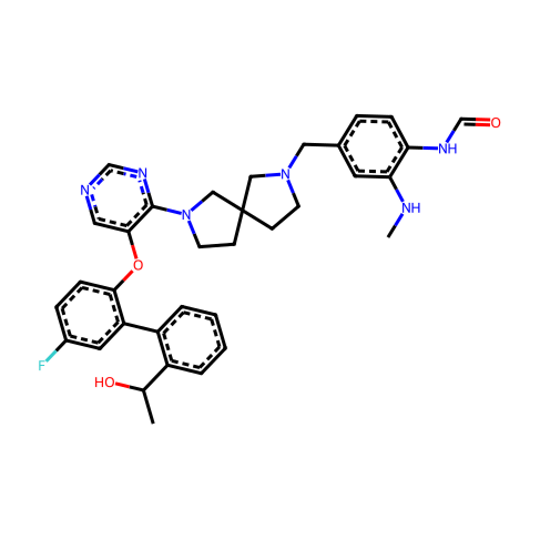 CNc1cc(CN2CCC3(CCN(c4ncncc4Oc4ccc(F)cc4-c4ccccc4C(C)O)C3)C2)ccc1NC=O